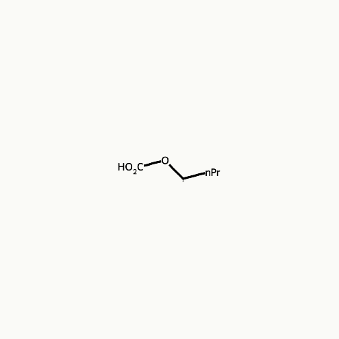 CCC[CH]OC(=O)O